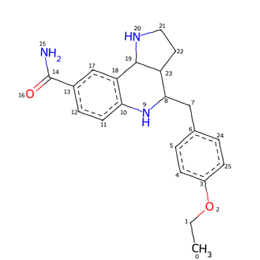 CCOc1ccc(CC2Nc3ccc(C(N)=O)cc3C3NCCC23)cc1